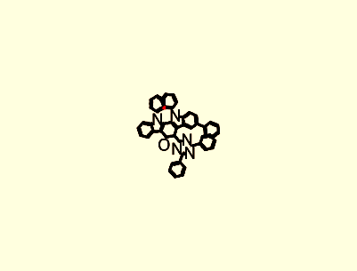 O=C1c2c(n(-c3ccccc3)c3ccccc23)-c2c(c3cc(-c4ccccc4)ccc3n2-c2ccccc2)C1c1nc(-c2ccccc2)nc(-c2ccccc2)n1